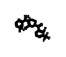 Cc1ccnc(N(N)C2=C(N)CN(C(=O)c3ccnc(C(F)(F)F)c3F)CC2)c1